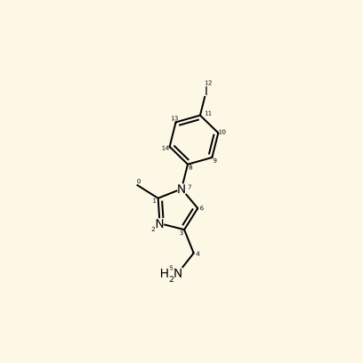 Cc1nc(CN)cn1-c1ccc(I)cc1